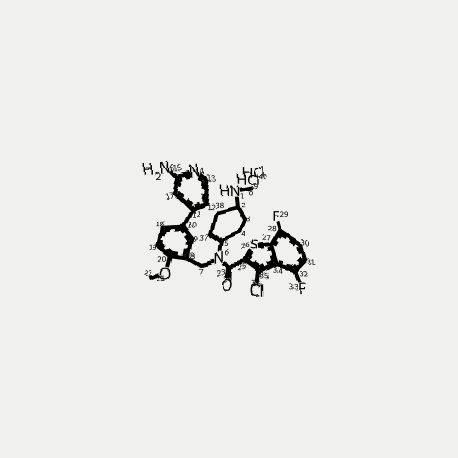 CNC1CCC(N(Cc2cc(-c3ccnc(N)c3)ccc2OC)C(=O)c2sc3c(F)ccc(F)c3c2Cl)CC1.Cl.Cl